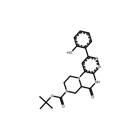 CC(C)(C)OC(=O)N1CCN2c3cc(-c4ccccc4O)nnc3NC(=O)C2C1